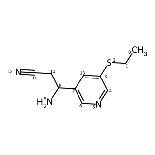 CCSc1cncc(C(N)CC#N)c1